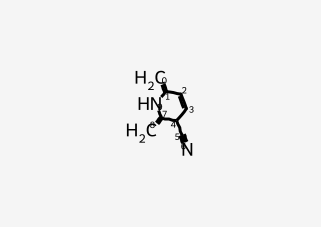 C=C1C=CC(C#N)C(=C)N1